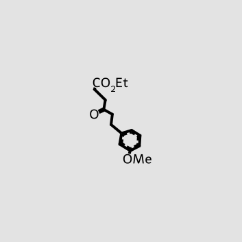 CCOC(=O)CCC(=O)CCc1cccc(OC)c1